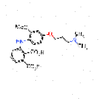 CCOC(=O)c1cccc(Nc2ccc(OCCCN(C)C)cc2OC)c1C(=O)O